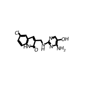 Nc1nc(NCc2cc3cc(Cl)ccc3[nH]c2=O)ncc1O